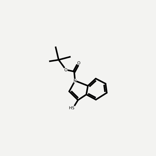 CC(C)(C)OC(=O)n1cc(S)c2ccccc21